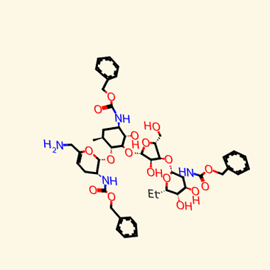 CC[C@@H]1O[C@H](O[C@H]2[C@@H](O)[C@H](O[C@@H]3[C@@H](O)[C@H](NC(=O)OCc4ccccc4)C[C@H](C)[C@H]3O[C@H]3OC(CN)=CC[C@H]3NC(=O)OCc3ccccc3)O[C@@H]2CO)[C@H](NC(=O)OCc2ccccc2)[C@@H](O)[C@@H]1O